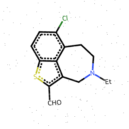 CCN1CCc2c(Cl)ccc3sc(C=O)c(c23)C1